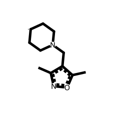 Cc1noc(C)c1CN1CC[CH]CC1